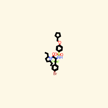 CCC1CCC(CC)N1C(=O)C(NS(=O)(=O)c1ccc(OCC2CCCC2)cc1)C(F)(F)c1ccc(Br)cc1